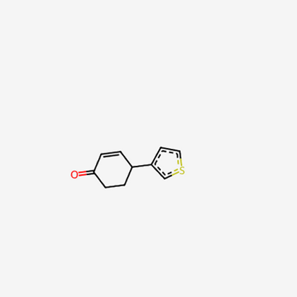 O=C1C=CC(c2ccsc2)CC1